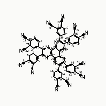 N#CC1=C(C#N)CCC(c2nc3c(nc2-c2ccc(C#N)c(C#N)c2)c2nc(-c4ccc(C#N)c(C#N)c4)c(-c4ccc(C#N)c(C#N)c4)nc2c2nc(-c4ccc(C#N)c(C#N)c4)c(-c4ccc(C#N)c(C#N)c4)nc32)=C1